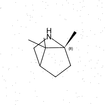 CC1(C)C2CC[C@@]1(C)NC2